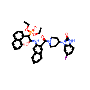 CCOP(=O)(OCC)C(c1cccc2ccccc12)C(O)Nc1cc2ccccc2cc1C(=O)N1CCC(n2c(=O)[nH]c3ccc(I)cc32)CC1